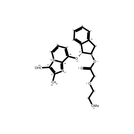 COCCOCC(=O)O[C@@H]1Cc2ccccc2[C@H]1Oc1cccn2c(C=O)c(C)nc12